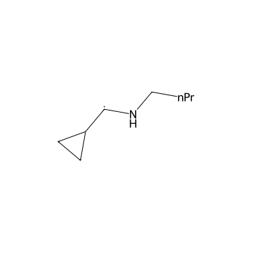 CCCCN[CH]C1CC1